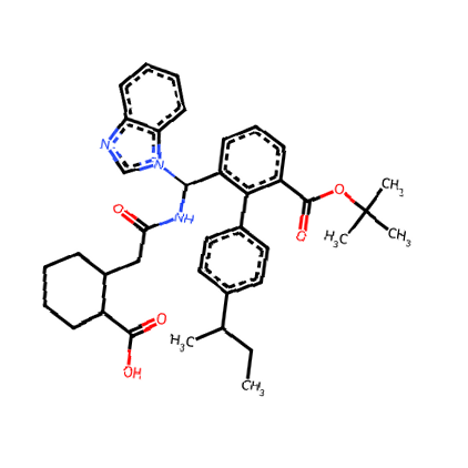 CCC(C)c1ccc(-c2c(C(=O)OC(C)(C)C)cccc2C(NC(=O)CC2CCCCC2C(=O)O)n2cnc3ccccc32)cc1